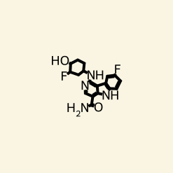 NC(=O)c1cnc(NC2CCC(O)C(F)C2)c2c1[nH]c1ccc(F)cc12